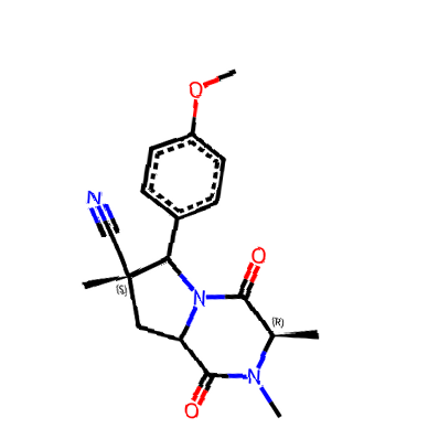 COc1ccc(C2N3C(=O)[C@@H](C)N(C)C(=O)C3C[C@]2(C)C#N)cc1